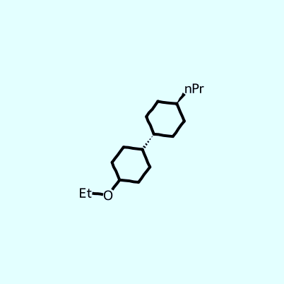 CCC[C@H]1CC[C@H](C2CCC(OCC)CC2)CC1